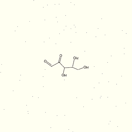 O=CC(=O)C(O)C(O)CO